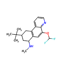 CNC1CC(C(C)(C)C)Cc2c1cc(OC(F)F)c1ncccc21